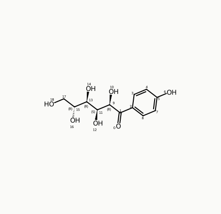 O=C(c1ccc(O)cc1)[C@H](O)[C@@H](O)[C@H](O)[C@H](O)CO